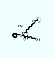 Cl.N=C(N)NCCCCCCC(=O)NC(OCc1ccccc1)C(=O)NCCCCO